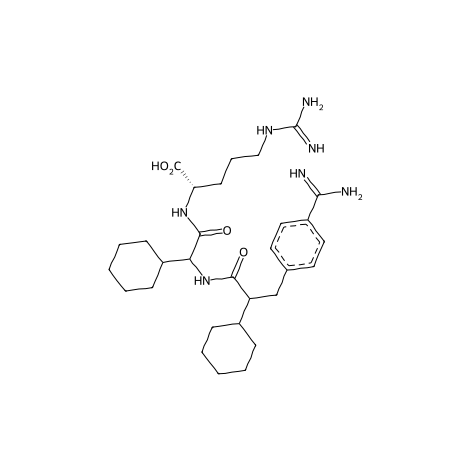 N=C(N)NCCC[C@H](NC(=O)C(NC(=O)C(Cc1ccc(C(=N)N)cc1)C1CCCCC1)C1CCCCC1)C(=O)O